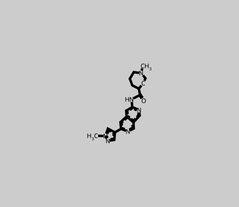 CN1CCCC(C(=O)Nc2cc3cc(-c4cnn(C)c4)ncc3cn2)CC1